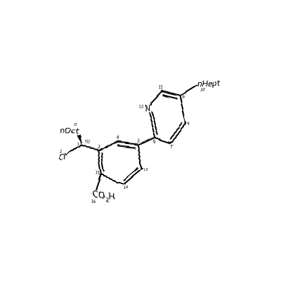 CCCCCCCC[C@H](Cl)c1cc(-c2ccc(CCCCCCC)cn2)ccc1C(=O)O